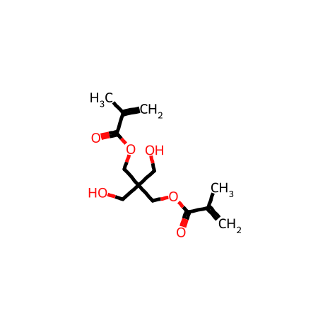 C=C(C)C(=O)OCC(CO)(CO)COC(=O)C(=C)C